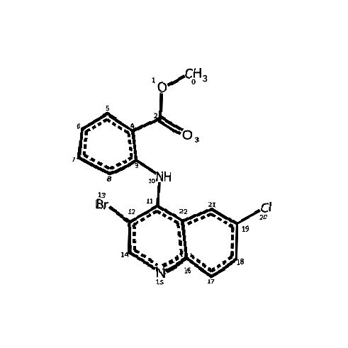 COC(=O)c1ccccc1Nc1c(Br)cnc2ccc(Cl)cc12